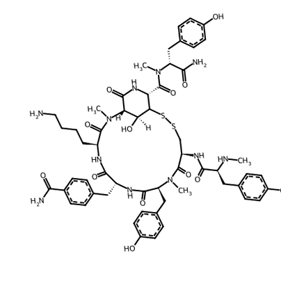 CN[C@@H](Cc1ccc(Cl)cc1)C(=O)N[C@@H]1CSSC2[C@@H](C(=O)N(C)[C@H](Cc3ccc(O)cc3)C(N)=O)NC(=O)[C@H]([C@@H]2O)N(C)C(=O)[C@H](CCCCN)NC(=O)[C@@H](Cc2ccc(C(N)=O)cc2)NC(=O)[C@H](Cc2ccc(O)cc2)N(C)C1=O